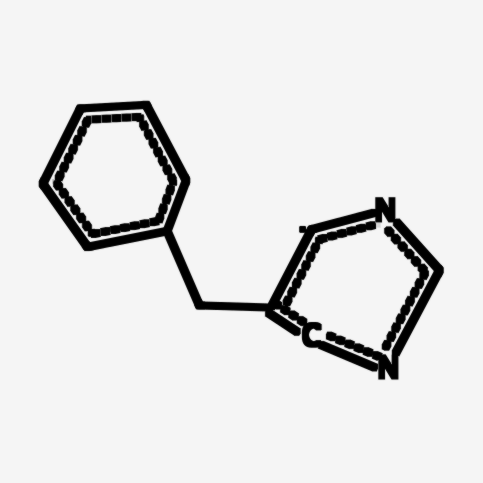 [c]1ncncc1Cc1ccccc1